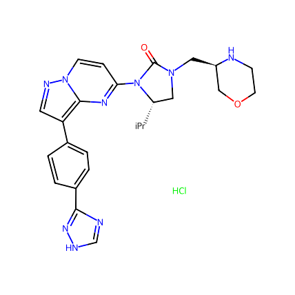 CC(C)[C@H]1CN(C[C@@H]2COCCN2)C(=O)N1c1ccn2ncc(-c3ccc(-c4nc[nH]n4)cc3)c2n1.Cl